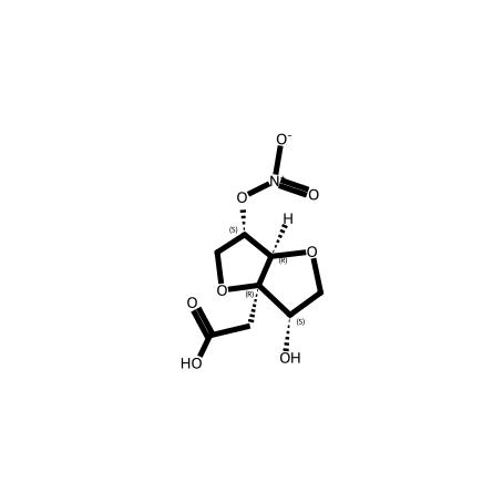 O=C(O)C[C@]12OC[C@H](O[N+](=O)[O-])[C@H]1OC[C@@H]2O